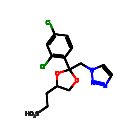 O=S(=O)(O)CCC1COC(Cn2ccnn2)(c2ccc(Cl)cc2Cl)O1